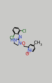 Cc1cc[n+]([O-])c(CON2CCN/C2=N\c2c(Cl)cccc2Cl)c1